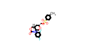 Cc1ccc(S(=O)(=O)OC[C@H]2C[C@H]3COC(=O)N[C@@]3(c3ccc(F)cc3F)CO2)cc1